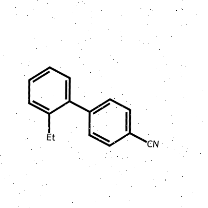 CCc1ccccc1-c1ccc(C#N)cc1